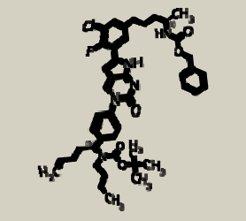 C=CCC[C@@H](c1ccc(-n2cc3cc(-c4cc(CCC[C@H](C)NC(=O)OCc5ccccc5)cc(Cl)c4F)[nH]c3nc2=O)cc1)N(CCCC)C(=O)OC(C)(C)C